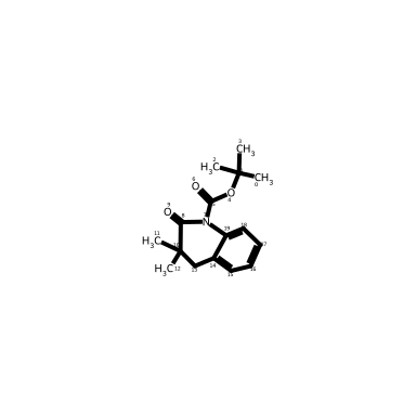 CC(C)(C)OC(=O)N1C(=O)C(C)(C)Cc2ccccc21